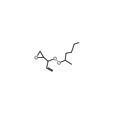 C=CC(OOC(C)CCCC)C1CO1